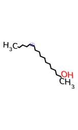 CCCC/C=C\CCCCCCCCCC(C)O